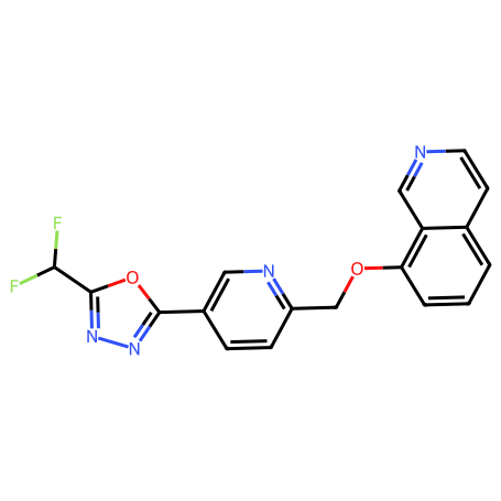 FC(F)c1nnc(-c2ccc(COc3cccc4ccncc34)nc2)o1